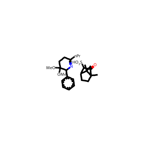 CC12CCC(C(S(=O)(=O)O)C1=O)C2(C)C.CCCC1=NC(c2ccccc2)C(OC)(OC)CC1